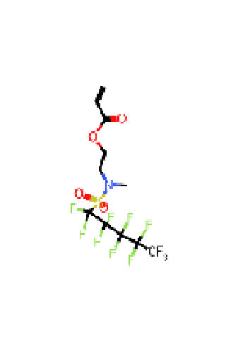 C=CC(=O)OCCN(C)S(=O)(=O)C(F)(F)C(F)(F)C(F)(F)C(F)(F)C(F)(F)F